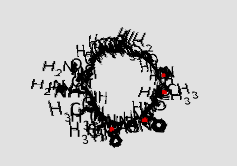 CCCC[C@H]1C(=O)N(C)[C@@H](CCCC)C(=O)N[C@@H](CCCNC(=N)N)C(=O)N[C@H](C(=O)NCC(N)=O)CSCC(=O)N[C@@H](C)C(=O)N(C)[C@@H](C)C(=O)N[C@@H](CC(N)=O)C(=O)N2CCCC2C(=O)N[C@@H](Cc2cnc[nH]2)C(=O)N[C@@H](CC(C)C)C(=O)N(C)CC(=O)N[C@@H](Cc2c[nH]c3ccccc23)C(=O)N[C@@H](CO)C(=O)N[C@@H](Cc2c[nH]c3ccccc23)C(=O)N1C